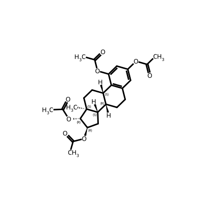 CC(=O)Oc1cc2c(c(OC(C)=O)c1)[C@H]1CC[C@@]3(C)[C@@H](C[C@@H](OC(C)=O)[C@@H]3OC(C)=O)[C@H]1CC2